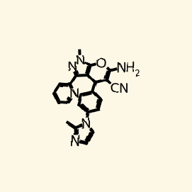 Cc1nccn1-c1ccc(C2C(C#N)=C(N)Oc3c2c(-c2ccccn2)nn3C)cc1